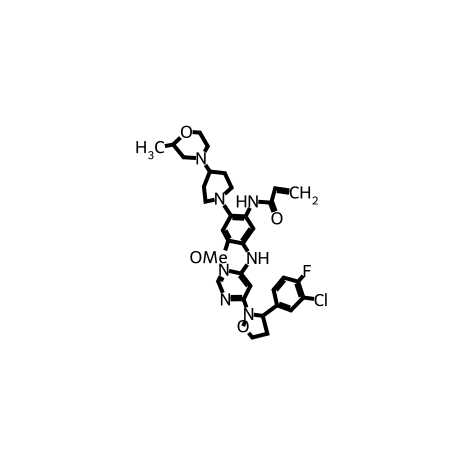 C=CC(=O)Nc1cc(Nc2cc(N3OCCC3c3ccc(F)c(Cl)c3)ncn2)c(OC)cc1N1CCC(N2CCOC(C)C2)CC1